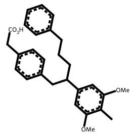 COc1cc(C(CCCc2ccccc2)Cc2ccc(CC(=O)O)cc2)cc(OC)c1C